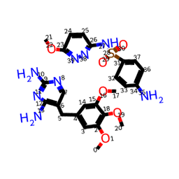 COc1cc(Cc2cnc(N)nc2N)cc(OC)c1OC.COc1ccc(NS(=O)(=O)c2ccc(N)cc2)nn1